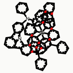 c1ccc(-c2cc(N(c3ccccc3)c3ccc4c5cccc6c7ccc(N(c8ccccc8)c8cc(-c9ccccc9)cc(N(c9ccccc9)c9c(-c%10ccccc%10)cccc9-c9ccccc9)c8)cc7n(c4c3)c56)cc(N(c3ccccc3)c3c(-c4ccccc4)cccc3-c3ccccc3)c2)cc1